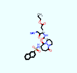 C=CCOC(=O)CC[C@H](NC(=O)[C@@H]1CCCN2C(=O)CC[C@H](NS(=O)(=O)c3ccc4ccccc4c3)C(=O)N12)C(=O)C=[N+]=[N-]